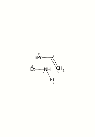 C=CCCC.CCNCC